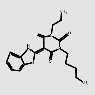 CCCCCN1C(=O)/C(=C2/Nc3ccccc3S2)C(=O)N(CCC)C1=O